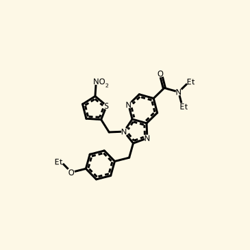 CCOc1ccc(Cc2nc3cc(C(=O)N(CC)CC)cnc3n2Cc2ccc([N+](=O)[O-])s2)cc1